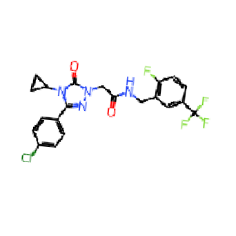 O=C(Cn1nc(-c2ccc(Cl)cc2)n(C2CC2)c1=O)NCc1cc(C(F)(F)F)ccc1F